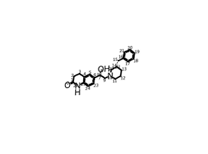 O=C1CCc2cc([C@H](O)CN3CCC[C@@H](Cc4ccccc4)C3)ccc2N1